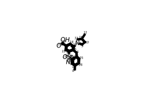 Cc1ccc(Cc2c(N3CCC(C)C3)cc(C(=O)O)cc2S(N)(=O)=O)cc1